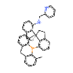 Cc1cccc(C)c1P(c1cccc2c1[C@]1(CCc3cccc(NCc4ccccn4)c31)CC2)c1c(C)cccc1C